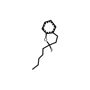 CCCCCC1(F)CCc2ccccc2O1